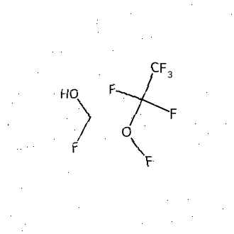 FOC(F)(F)C(F)(F)F.OCF